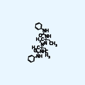 CCC(C)(N=NC(C)(CC)NC(=O)Nc1ccccc1)NC(=O)Nc1ccccc1